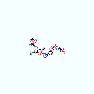 CC(C)(C)OC(=O)NCCOc1cc(Br)ccc1CN(C(=O)C1CCCN(c2cccc(OC(C)(C)C(=O)N3CCN(C(=O)O)CC3)c2)C1)C1CC1